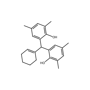 Cc1cc(C)c(O)c(C(C2=CCCCC2)c2cc(C)cc(C)c2O)c1